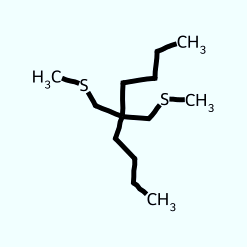 CCCCC(CCCC)(CSC)CSC